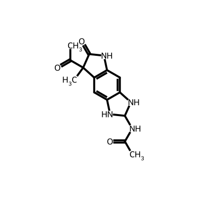 CC(=O)NC1Nc2cc3c(cc2N1)C(C)(C(C)=O)C(=O)N3